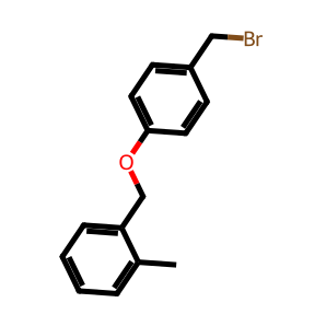 Cc1ccccc1COc1ccc(CBr)cc1